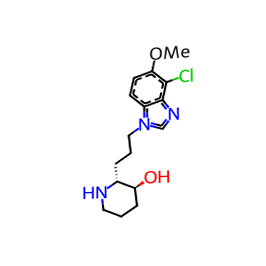 COc1ccc2c(ncn2CCC[C@H]2NCCC[C@@H]2O)c1Cl